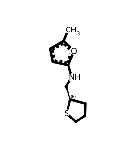 Cc1ccc(NC[C@H]2CCCS2)o1